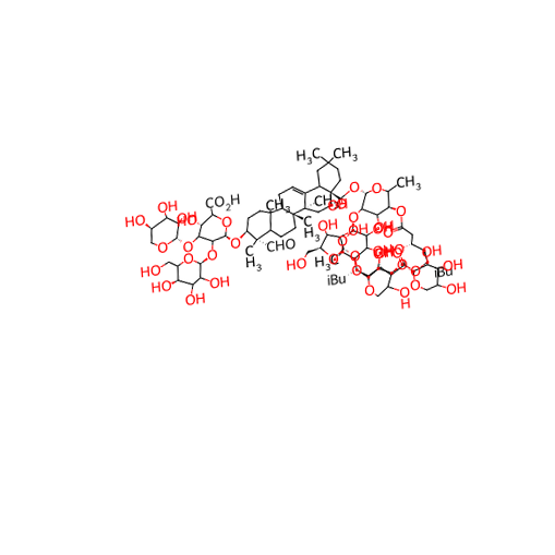 CC[C@H](C)[C@H](C[C@H](O)CC(=O)O[C@@H]1C(C)O[C@@H](OC(=O)[C@]23CCC(C)(C)CC2C2=CCC4[C@@]5(C)CC[C@H](O[C@@H]6OC(C(=O)O)[C@@H](O)C(O[C@@H]7OC[C@@H](O)C(O)C7O)C6O[C@@H]6OC(CO)[C@H](O)C(O)C6O)[C@@](C)(C=O)C5CC[C@@]4(C)[C@]2(C)C[C@H]3O)C(O[C@@H]2OC(C)[C@H](O[C@H]3OCC(O)[C@H](O[C@H]4OCC(O)[C@H](O)C4O)C3O)C(O)C2O)C1O)OC(=O)C[C@@H](O)C[C@H](O[C@@H]1O[C@@H](CO)C(O)C1O)[C@@H](C)CC